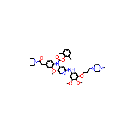 CCN(CC)C(=O)Cc1ccc(N(C(=O)Oc2c(C)cccc2C)c2ccnc(Nc3cc(OC)c(OC)c(OCCCN4CCN(C)CC4)c3)c2)c(OC)c1